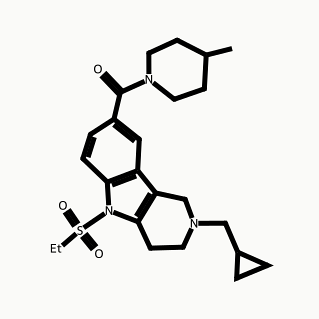 CCS(=O)(=O)n1c2c(c3cc(C(=O)N4CCC(C)CC4)ccc31)CN(CC1CC1)CC2